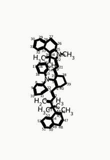 C=C(/C=C/C1=C(N(c2ccccc2)c2ccccc2)C(=C/C=C2/N(C)c3ccc4ccccc4c3C2(C)C)/CCC1)C(C)(C)c1c(C)ccc2ccccc12